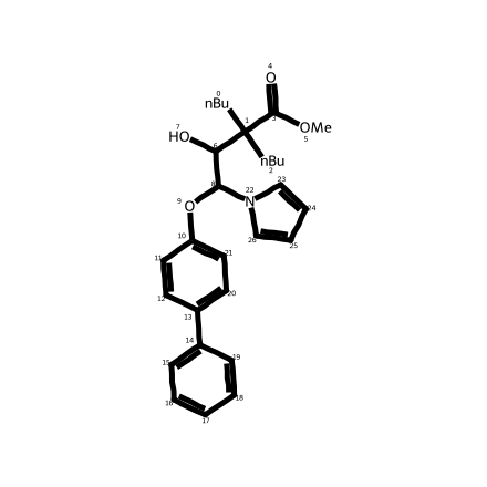 CCCCC(CCCC)(C(=O)OC)C(O)C(Oc1ccc(-c2ccccc2)cc1)n1cccc1